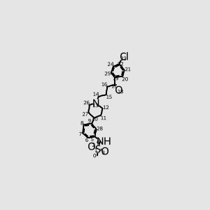 CS(=O)(=O)Nc1cccc(C2CCN(CCCC(=O)c3ccc(Cl)cc3)CC2)c1